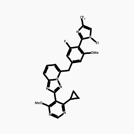 CCn1cc(C(F)(F)F)nc1-c1c(F)cc(Cc2cccc3nc(-c4c(OC)ncnc4C4CC4)nn23)cc1OC